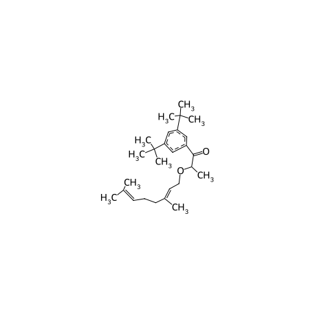 CC(C)=CCC/C(C)=C/COC(C)C(=O)c1cc(C(C)(C)C)cc(C(C)(C)C)c1